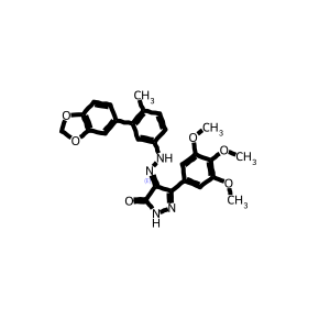 COc1cc(C2=NNC(=O)/C2=N/Nc2ccc(C)c(-c3ccc4c(c3)OCO4)c2)cc(OC)c1OC